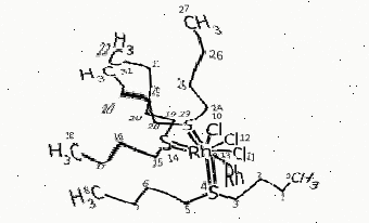 CCCC[S](CCCC)=[Rh]([Cl])([Cl])([Cl])([Rh])(=[S](CCCC)CCCC)=[S](CCCC)CCCC